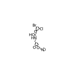 COc1cc(CCNCC(O)COc2cc(Cl)cc(Br)c2)ccc1OCCN1CCCC1